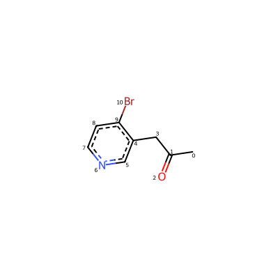 CC(=O)Cc1cnccc1Br